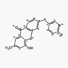 Cc1cc(O)c2oc3cc(Cc4ccc(F)nc4)ccc3c(=O)c2c1